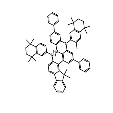 Cc1cc2c(cc1N1c3cc(-c4ccccc4)ccc3Bc3c(-c4c(Nc5ccc6c(c5)C(C)(C)CCC6(C)C)ccc5c4C(C)(C)c4ccccc4-5)cc(-c4ccccc4)cc31)C(C)(C)CCC2(C)C